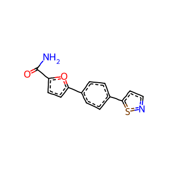 NC(=O)c1ccc(-c2ccc(-c3ccns3)cc2)o1